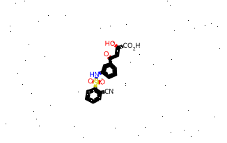 N#Cc1ccccc1S(=O)(=O)Nc1cccc(C(=O)C=C(O)C(=O)O)c1